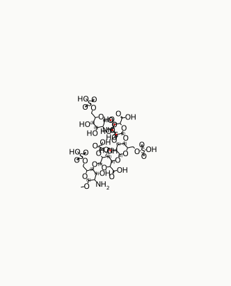 CO[C@H]1OC(COS(=O)(=O)O)[C@@H](O[C@@H]2OC(C(=O)O)[C@H](O[C@@H]3OC(COS(=O)(=O)O)[C@@H](O[C@@H]4OC(C(=O)O)[C@@H](O[C@H]5OC(COS(=O)(=O)O)[C@@H](O)[C@H](O)C5N)[C@H](O)C4O)[C@@H](OSOOO)C3N)[C@@H](O)C2OS(=O)(=O)O)[C@H](O)C1N